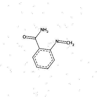 C=Nc1ccccc1C(N)=O